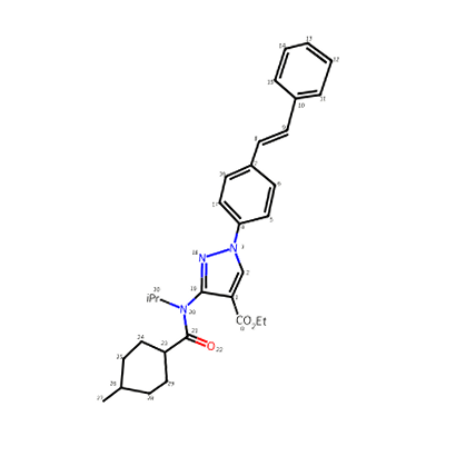 CCOC(=O)c1cn(-c2ccc(C=Cc3ccccc3)cc2)nc1N(C(=O)C1CCC(C)CC1)C(C)C